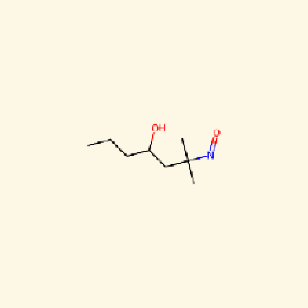 CCCC(O)CC(C)(C)N=O